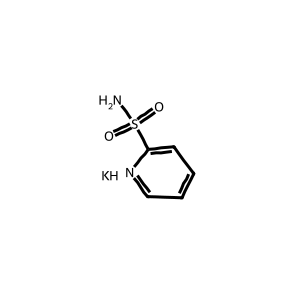 NS(=O)(=O)c1ccccn1.[KH]